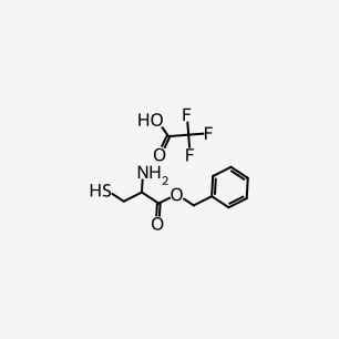 NC(CS)C(=O)OCc1ccccc1.O=C(O)C(F)(F)F